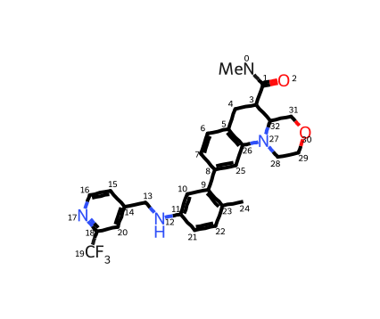 CNC(=O)C1Cc2ccc(-c3cc(NCc4ccnc(C(F)(F)F)c4)ccc3C)cc2N2CCOCC12